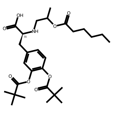 CCCCCC(=O)OC(C)CN[C@@H](Cc1ccc(OC(=O)C(C)(C)C)c(OC(=O)C(C)(C)C)c1)C(=O)O